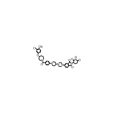 N#Cc1ccc(OC2CCCN(C(=O)c3ccc(N4CCC(N5CCN(c6ccc7c(c6)C(=O)N(C6CCC(=O)NC6=O)C7=O)CC5)CC4)cc3)CC2)cc1Cl